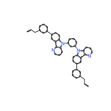 C=CCc1cccc(-c2ccc3c(c2)c2ncccc2n3-c2cccc(-n3c4ccc(-c5cccc(CC=C)c5)cc4c4ncccc43)c2)c1